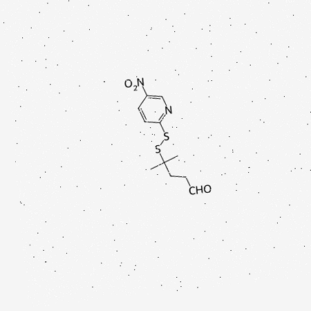 CC(C)(CCC=O)SSc1ccc([N+](=O)[O-])cn1